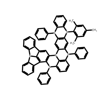 Cc1cc(C)c(B2c3ccccc3N(c3ccccc3)c3cc4c(cc32)N(c2ccccc2)c2cccc3c2B4c2cc4c5ccccc5n5c6ccccc6c(c2N3c2ccccc2)c45)c(C)c1